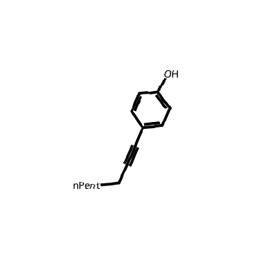 CCCCCCC#Cc1ccc(O)cc1